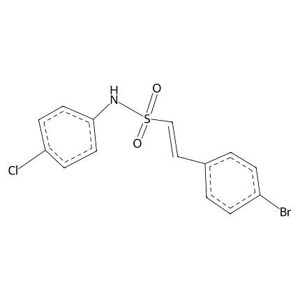 O=S(=O)(C=Cc1ccc(Br)cc1)Nc1ccc(Cl)cc1